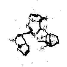 C[C@H]1C2CCC(CC2)[C@@H]1Nc1nc(-c2c[nH]c3ncccc23)nn2ccc(F)c12